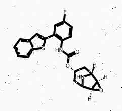 O=C(Nc1ccc(F)cc1-c1cc2ccccc2s1)O[C@H]1CC2N[C@H](C1)[C@H]1O[C@@H]21